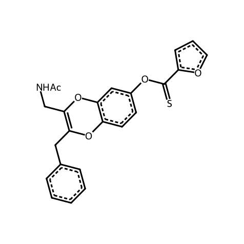 CC(=O)NCC1=C(Cc2ccccc2)Oc2ccc(OC(=S)c3ccco3)cc2O1